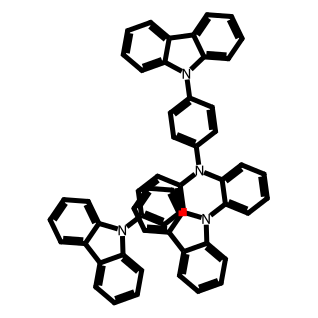 c1ccc(-n2c3ccccc3c3ccccc32)c(N(c2ccc(-n3c4ccccc4c4ccccc43)cc2)c2ccc(-n3c4ccccc4c4ccccc43)cc2)c1